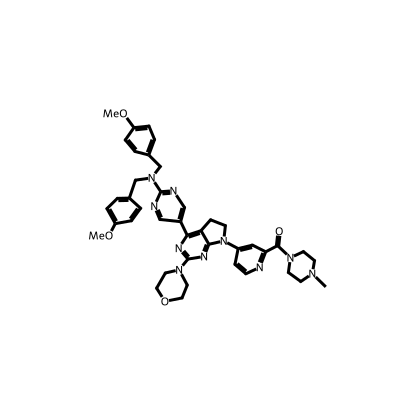 COc1ccc(CN(Cc2ccc(OC)cc2)c2ncc(-c3nc(N4CCOCC4)nc4c3CCN4c3ccnc(C(=O)N4CCN(C)CC4)c3)cn2)cc1